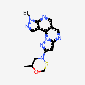 CCn1ncc2c1ncc1cnc3cc(N4CC(C)OCS4)nn3c12